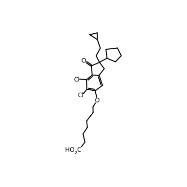 O=C(O)CCCCCCOc1cc2c(c(Cl)c1Cl)C(=O)C(CCC1CC1)(C1CCCC1)C2